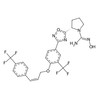 N/C(=N\O)N1CCC[C@H]1c1nc(-c2ccc(OC/C=C\c3ccc(C(F)(F)F)cc3)c(C(F)(F)F)c2)no1